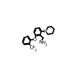 NCc1c(Oc2ccccc2C(F)(F)F)cccc1N1CCCCC1